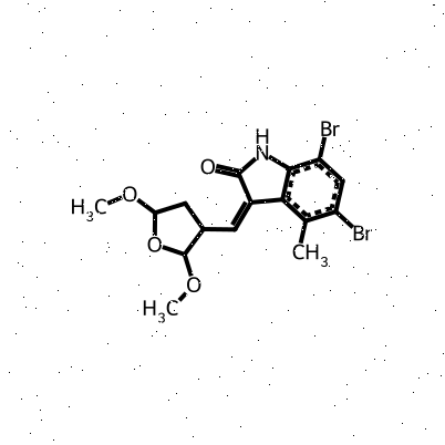 COC1CC(C=C2C(=O)Nc3c(Br)cc(Br)c(C)c32)C(OC)O1